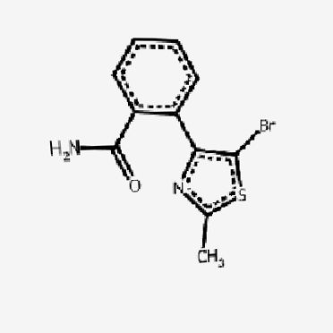 Cc1nc(-c2ccccc2C(N)=O)c(Br)s1